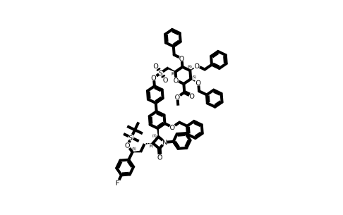 COC(=O)C1O[C@@H](CS(=O)(=O)Oc2ccc(-c3ccc([C@@H]4[C@@H](CC[C@H](O[Si](C)(C)C(C)(C)C)c5ccc(F)cc5)C(=O)N4c4ccccc4)c(OCc4ccccc4)c3)cc2)C(OCc2ccccc2)[C@H](OCc2ccccc2)[C@@H]1OCc1ccccc1